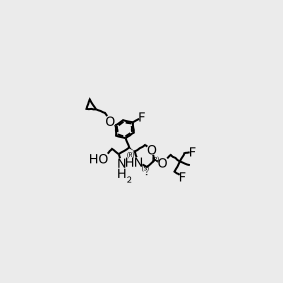 C[C@@H]1N[C@H](C(c2cc(F)cc(OCC3CC3)c2)C(N)CO)CO[C@H]1OCC(C)(CF)CF